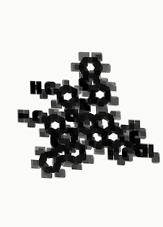 Cc1ccc(N(c2cc(N(c3ccc(C)cc3C)c3cccc4c3sc3ccccc34)c3ccc4cc(C(C)(C)C)cc5ccc2c3c54)c2cccc3c2sc2ccccc23)c(C)c1